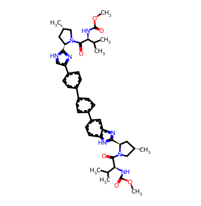 COC(=O)N[C@H](C(=O)N1C[C@@H](C)C[C@@H]1c1nc2cc(-c3ccc(-c4ccc(-c5c[nH]c([C@@H]6C[C@H](C)CN6C(=O)[C@@H](NC(=O)OC)C(C)C)n5)cc4)cc3)ccc2[nH]1)C(C)C